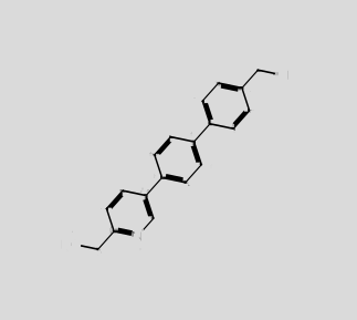 CCc1ccc(-c2ccc(-c3ccc(CC)nc3)cc2)cc1